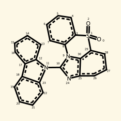 O=S1(=O)c2ccccc2-n2c(-n3c4ccccc4c4ccccc43)nc3cccc1c32